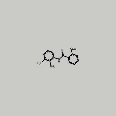 COc1ccccc1C(=O)Nc1cccc(C(F)(F)F)c1N